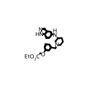 CCOC(=O)COc1cccc(CN2CCC[C@@H](Nc3ccc4[nH]ncc4c3)C2)c1